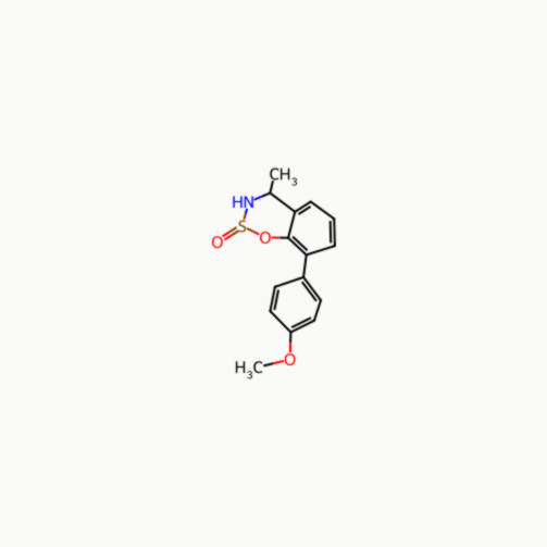 COc1ccc(-c2cccc3c2OS(=O)NC3C)cc1